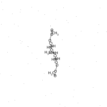 Cc1cc(NNc2ccc(OCCCCOCC3(C)COC3)cc2)ccc1NNc1ccc(NNc2ccc(OCCCCOCC3(C)COC3)cc2)cc1